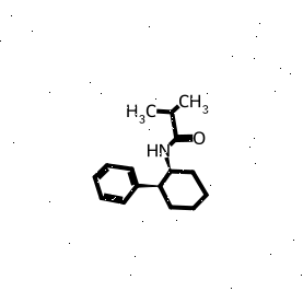 CC(C)C(=O)N[C@H]1CCCC[C@H]1c1ccccc1